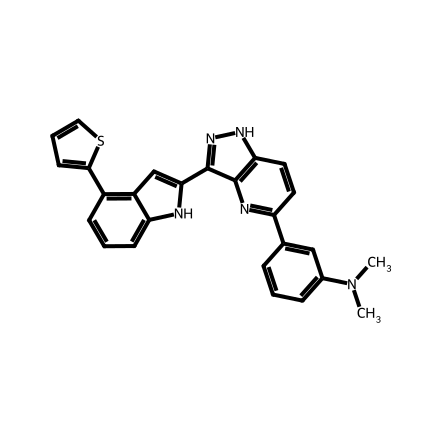 CN(C)c1cccc(-c2ccc3[nH]nc(-c4cc5c(-c6cccs6)cccc5[nH]4)c3n2)c1